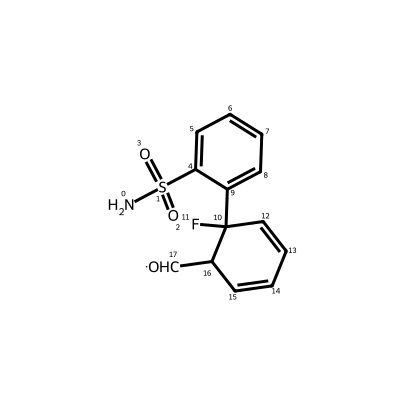 NS(=O)(=O)c1ccccc1C1(F)C=CC=CC1[C]=O